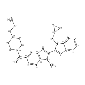 Cn1c(-c2cc3cccnc3n2CC2CC2)nc2cc(C(=O)N3CCC(CCN)CC3)cnc21